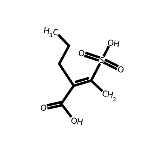 CCCC(C(=O)O)=C(C)S(=O)(=O)O